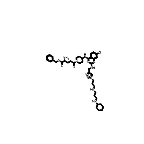 N[C@@H](CCC(=O)N1CCC(Nc2nc(NCc3cn(CCCNCCCNC4CCCCC4)nn3)nc3cc(Cl)ccc23)CC1)C(=O)OCc1ccccc1